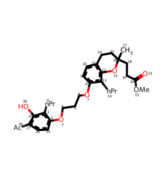 CCCc1c(OCCCOc2ccc3c(c2CCC)OC(C)(CCC(=O)OC)CC3)ccc(C(C)=O)c1O